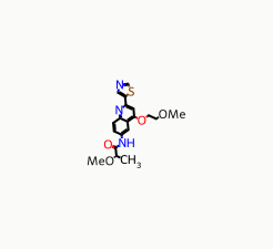 COCCOc1cc(-c2cncs2)nc2ccc(NC(=O)[C@@H](C)OC)cc12